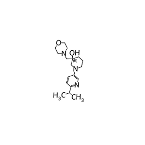 CC(C)c1ccc(N2CCC[C@@](O)(CN3CCOCC3)C2)cn1